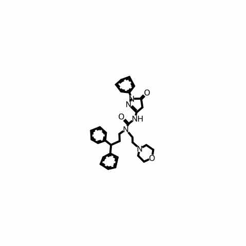 O=C(NC1=NN(c2ccccc2)C(=O)C1)N(CCC(c1ccccc1)c1ccccc1)CCN1CCOCC1